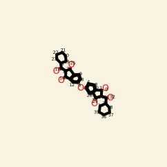 O=C1c2ccc(Oc3ccc4c(c3)C(=O)C(C(=O)C3CCCCC3)C4=O)cc2C(=O)C1C(=O)C1CCCCC1